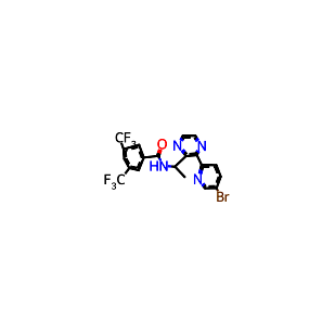 CC(NC(=O)c1cc(C(F)(F)F)cc(C(F)(F)F)c1)c1nccnc1-c1ccc(Br)cn1